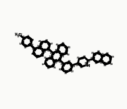 Cc1ccc(-c2cccc3c(-c4c5ccccc5c(-c5cccc(C6=CNC(c7ccc8ccccc8c7)C=C6)c5)c5ccccc45)cccc23)cc1